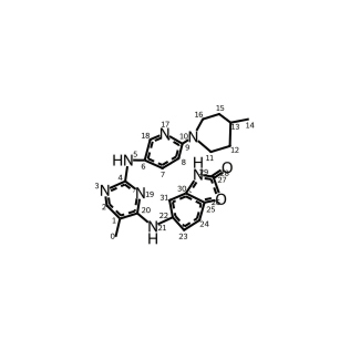 Cc1cnc(Nc2ccc(N3CCC(C)CC3)nc2)nc1Nc1ccc2oc(=O)[nH]c2c1